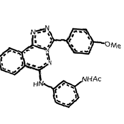 COc1ccc(-c2nnc3c4ccccc4c(Nc4cccc(NC(C)=O)c4)nn23)cc1